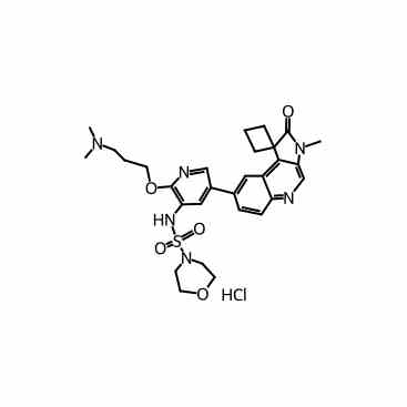 CN(C)CCCOc1ncc(-c2ccc3ncc4c(c3c2)C2(CCC2)C(=O)N4C)cc1NS(=O)(=O)N1CCOCC1.Cl